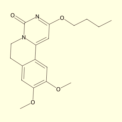 CCCCOc1cc2n(c(=O)n1)CCc1cc(OC)c(OC)cc1-2